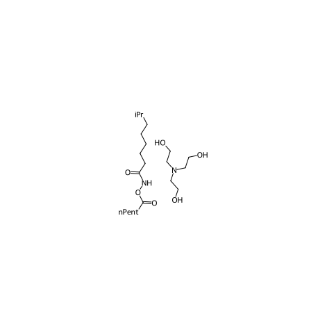 CCCCCC(=O)ONC(=O)CCCCCC(C)C.OCCN(CCO)CCO